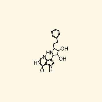 O=c1[nH]cnc2c(C3NC(CCc4ccccc4)C(O)C3O)c[nH]c12